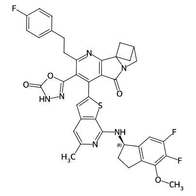 COc1c(F)c(F)cc2c1CC[C@H]2Nc1nc(C)cc2cc(-c3c4c(nc(CCc5ccc(F)cc5)c3-c3n[nH]c(=O)o3)C35CC(CN3C4=O)C5)sc12